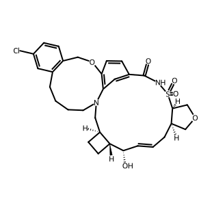 O=C1NS(=O)(=O)[C@H]2COC[C@H]2C/C=C/[C@H](O)[C@@H]2CC[C@H]2CN2CCCCc3cc(Cl)ccc3COc3ccc1cc32